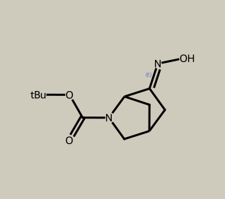 CC(C)(C)OC(=O)N1CC2C/C(=N\O)C1C2